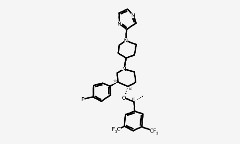 C[C@@H](O[C@H]1CCN(C2CCN(c3cnccn3)CC2)C[C@@H]1c1ccc(F)cc1)c1cc(C(F)(F)F)cc(C(F)(F)F)c1